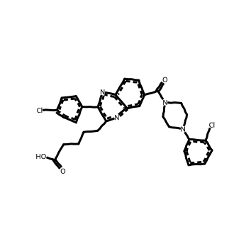 O=C(O)CCCCc1nc2cc(C(=O)N3CCN(c4ccccc4Cl)CC3)ccc2nc1-c1ccc(Cl)cc1